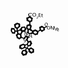 CCOC(=O)c1ccc(-c2ccc3c(c2)c2cc(-c4ccc(C(=O)OC)cc4)ccc2c2nc4c(-c5cccc6c5-c5ccccc5C6(c5ccccc5)c5ccccc5)sc(-c5cccc6c5-c5ccccc5C6(c5ccccc5)c5ccccc5)c4nc32)cc1